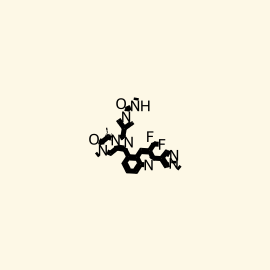 CNC(=O)N1CC(c2nc(-c3cccc4nc(-c5cnn(C)c5)c(C(F)F)cc34)c3n2[C@@H](C)C(=O)N(C)C3)C1